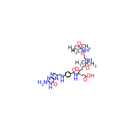 CC(=O)C(C)(C)NOCCNC(C)(C)C(=O)CCC(=O)[C@H](CCC(=O)O)NC(=O)c1ccc(NCc2cnc3nc(N)[nH]c(=O)c3n2)cc1